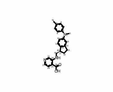 CN(c1ccc(I)cc1)c1ccc2c(c1)CC[C@H]2CNc1cnccc1C(=O)O